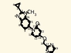 Cn1c(C2CC2)nc2ccc(-n3ccc(OCc4nccs4)cc3=O)cc21